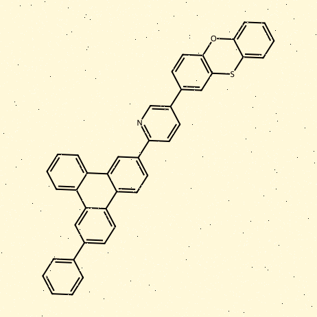 c1ccc(-c2ccc3c4ccc(-c5ccc(-c6ccc7c(c6)Sc6ccccc6O7)cn5)cc4c4ccccc4c3c2)cc1